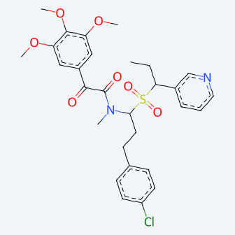 CCC(c1cccnc1)S(=O)(=O)C(CCc1ccc(Cl)cc1)N(C)C(=O)C(=O)c1cc(OC)c(OC)c(OC)c1